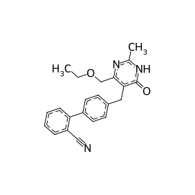 CCOCc1nc(C)[nH]c(=O)c1Cc1ccc(-c2ccccc2C#N)cc1